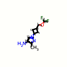 Cc1nn(C2CC(COC(F)F)C2)cc1N